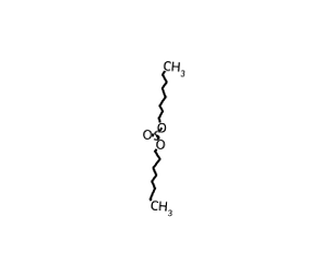 CCCCCCCCOS(=O)OCCCCCCCC